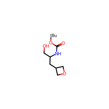 CC(C)(C)OC(=O)NC(CO)CC1COC1